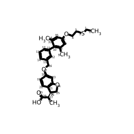 CCSCCOc1cc(C)c(-c2cccc(COc3ccc4c(c3)OC[C@H]4C(C)C(=O)O)c2)c(C)c1